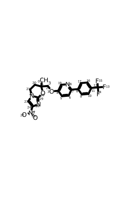 CC1(COc2ccc(-c3ccc(C(F)(F)F)cc3)nc2)CCn2cc([N+](=O)[O-])nc2O1